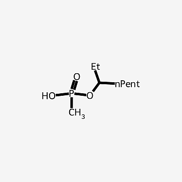 CCCCCC(CC)OP(C)(=O)O